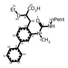 CCCCCNC(=O)N(C)c1cc(-c2ccccc2)ccc1CC(OCC)C(=O)O